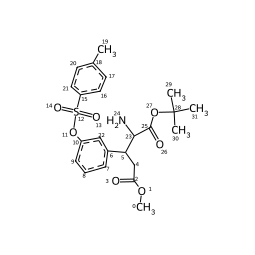 COC(=O)CC(c1cccc(OS(=O)(=O)c2ccc(C)cc2)c1)C(N)C(=O)OC(C)(C)C